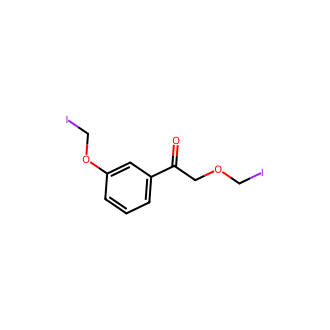 O=C(COCI)c1cccc(OCI)c1